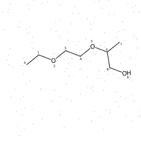 CCOCCOC(C)[CH]O